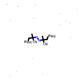 CCCC(C)CC(C)(C#N)N=NC(C)(C#N)CC(C)CCC